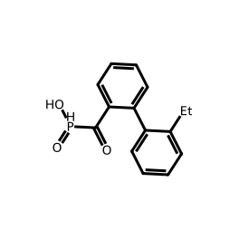 CCc1ccccc1-c1ccccc1C(=O)[PH](=O)O